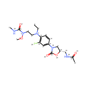 CCN(CCN(OC)C(=O)NC)c1ccc(N2C[C@H](CNC(C)=O)OC2=O)cc1F